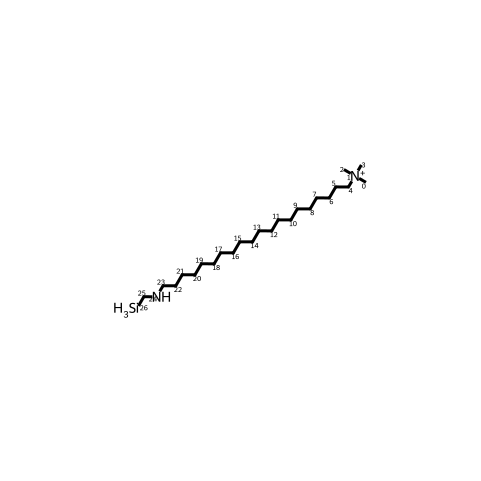 C[N+](C)(C)CCCCCCCCCCCCCCCCCCCCNC[SiH3]